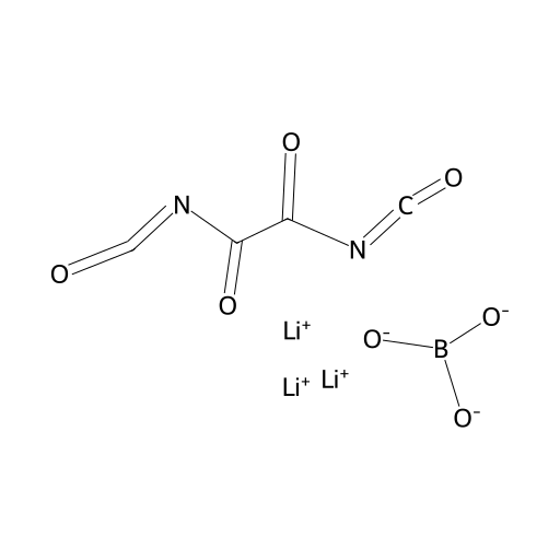 O=C=NC(=O)C(=O)N=C=O.[Li+].[Li+].[Li+].[O-]B([O-])[O-]